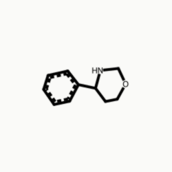 c1ccc(C2CCOCN2)cc1